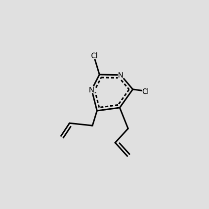 C=CCc1nc(Cl)nc(Cl)c1CC=C